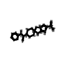 O=C(Nc1ccccc1)N1CCC2(CC1)Cn1cc([N+](=O)[O-])nc1O2